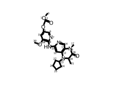 COC(=O)Oc1cnc(Nc2cc3c(cn2)N(C)C(=O)C(C)N3C2CCCC2)c(OC)c1